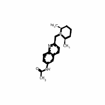 CC(=O)Nc1ccc2nc(CN3[C@H](C)CCC[C@@H]3C)ccc2c1